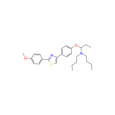 CCCCN(CCCC)C(CC)Oc1ccc(-c2csc(-c3ccc(OC)cc3)n2)cc1